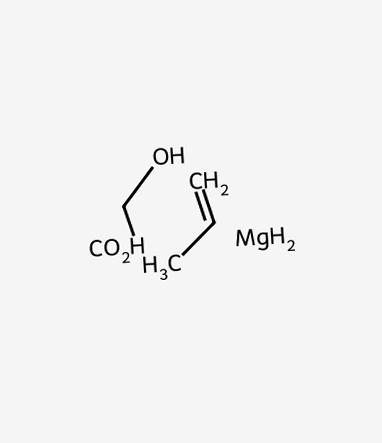 C=CC.O=C(O)CO.[MgH2]